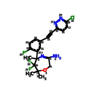 CC1(C)OCC(N)=NC(C)(c2cc(C#Cc3ccc(Cl)nn3)ccc2F)C1(F)F